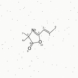 CC=CC1=NC(C)(C)C(=O)O1